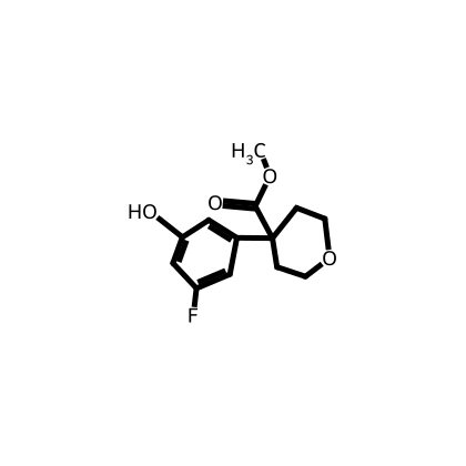 COC(=O)C1(c2cc(O)cc(F)c2)CCOCC1